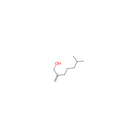 C=C(CO)CCCC(C)C